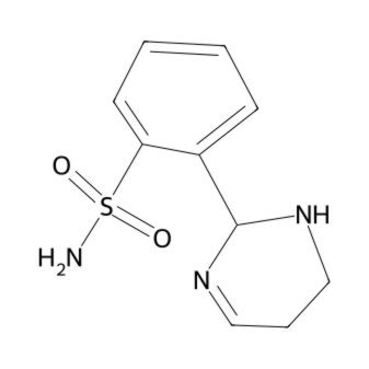 NS(=O)(=O)c1ccccc1C1N=CCCN1